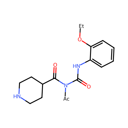 CCOc1ccccc1NC(=O)N(C(C)=O)C(=O)C1CCNCC1